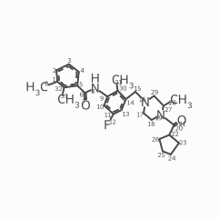 Cc1cccc(C(=O)Nc2cc(F)cc(CN3CCN(C(=O)C4CCCC4)C(C)C3)c2C)c1C